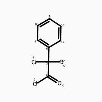 O=C(Cl)C(Cl)(Br)c1ccccc1